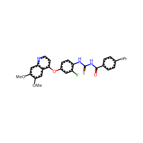 CCCc1ccc(C(=O)NC(=S)Nc2ccc(Oc3ccnc4cc(OC)c(OC)cc34)cc2F)cc1